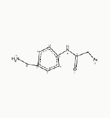 CC(=O)CC(=O)Nc1ccc(CN)cc1